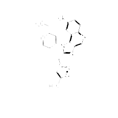 CC[C@@H]1C[C@H](n2c(Cn3cc(C)nn3)nc3cnc4ccc(Cl)cc4c32)CCO1